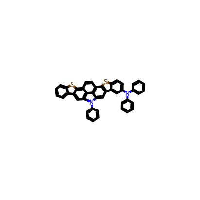 c1ccc(N(c2ccccc2)c2ccc3sc4c(cc5c6c4ccc4c7sc8ccccc8c7cc(c46)n5-c4ccccc4)c3c2)cc1